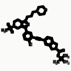 CC(C)(C)OC(=O)N1Cc2ccc(C#Cc3cc(-c4nn(CCCN5CCOCC5)c5c4CN(S(C)(=O)=O)CC5)ccc3Cl)cc2C1